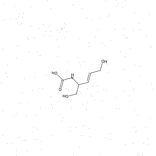 O=C(O)NC(C=CCO)CO